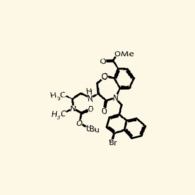 COC(=O)c1cccc2c1OC[C@H](NC[C@H](C)N(C)C(=O)OC(C)(C)C)C(=O)N2Cc1ccc(Br)c2ccccc12